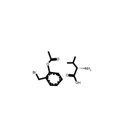 CC(=O)Oc1ccccc1CBr.CC(C)[C@H](N)C(=O)O